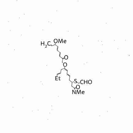 C=CC(C=C/C=C/C(=O)CO/C(=C/C=C/CC(CC(=O)NC)SCC=O)C/C=C/CC)OC